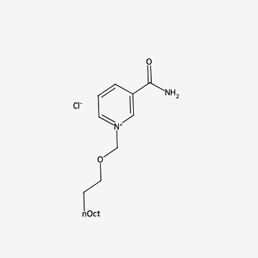 CCCCCCCCCCOC[n+]1cccc(C(N)=O)c1.[Cl-]